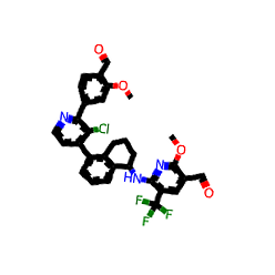 COc1cc(-c2nccc(-c3cccc4c3CCCC4Nc3nc(OC)c(C=O)cc3C(F)(F)F)c2Cl)ccc1C=O